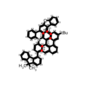 CC(C)(C)c1cc(-c2cccc3c2=C(c2ccccc2N(c2ccc(-c4cccc5c4-c4ccccc4C5(C)C)cc2)c2ccccc2-c2ccc4c(c2)oc2ccccc24)CCC=3)cc(C(C)(C)C)c1